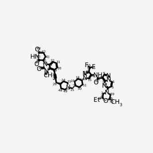 CC[C@@H]1CN(c2ccn3ncc(C(=O)Nc4cn([C@H]5CC[C@H](CN6CCC(CC#Cc7cccc8c7n(C)c(=O)n8C7CCC(=O)NC7=O)CC6)CC5)nc4C(F)F)c3n2)C[C@H](C)O1